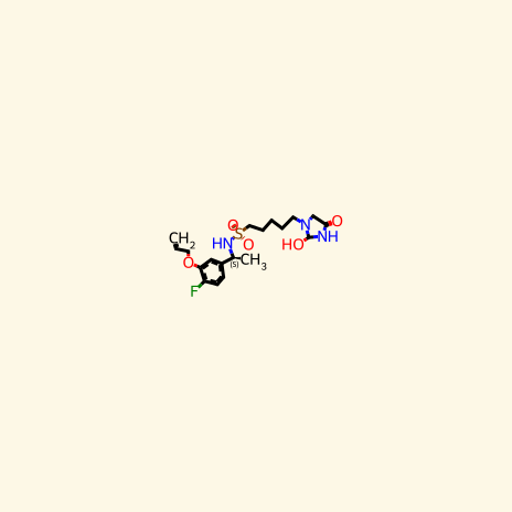 C=CCOc1cc([C@H](C)NS(=O)(=O)CCCCCN2CC(=O)NC2O)ccc1F